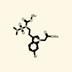 COC(=O)Cn1cc(CCN(C(=O)OC(C)(C)C)S(=O)(=O)N(C)C)c2ccc(Br)cc21